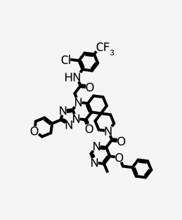 Cc1ncnc(C(=O)N2CCC3(CCCc4c3c(=O)n3nc(C5=CCOCC5)nc3n4CC(=O)Nc3ccc(C(F)(F)F)cc3Cl)CC2)c1OCc1ccccc1